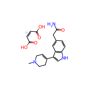 CN1CC=C(c2c[nH]c3ccc(CC(N)=O)cc23)CC1.O=C(O)/C=C\C(=O)O